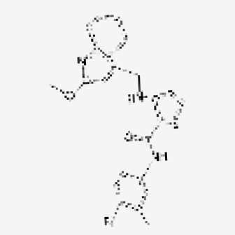 COc1cc(CNc2ccsc2C(=O)Nc2ccc(Br)c(C)c2)c2ccccc2n1